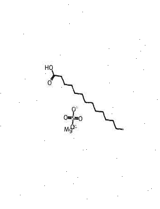 CCCCCCCCCCCCCC(=O)O.O=S(=O)([O-])[O-].[Mg+2]